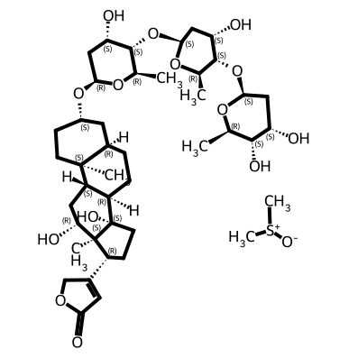 C[C@H]1O[C@@H](O[C@H]2[C@@H](O)C[C@H](O[C@H]3[C@@H](O)C[C@H](O[C@H]4CC[C@@]5(C)[C@H](CC[C@@H]6[C@@H]5C[C@@H](O)[C@]5(C)[C@@H](C7=CC(=O)OC7)CC[C@]65O)C4)O[C@@H]3C)O[C@@H]2C)C[C@H](O)[C@@H]1O.C[S+](C)[O-]